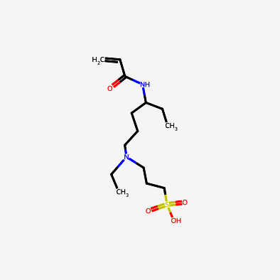 C=CC(=O)NC(CC)CCCN(CC)CCCS(=O)(=O)O